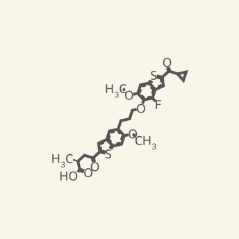 COc1cc2sc(C(=O)C[C@H](C)C(=O)O)cc2cc1CCCOc1c(OC)cc2sc(C(=O)C3CC3)cc2c1F